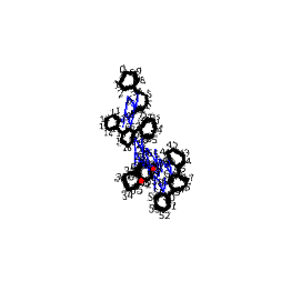 c1ccc(-c2cccc(-n3c4ccccc4c4ccc5c(c6ccccc6n5-c5nc(-c6ccccc6)nc(-n6c7ccccc7c7ccc8c9ccccc9n(-c9ccccc9)c8c76)n5)c43)n2)cc1